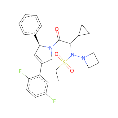 CCS(=O)(=O)N([C@H](C(=O)N1CC(c2cc(F)ccc2F)=C[C@H]1c1ccccc1)C1CC1)N1CCC1